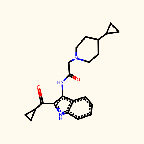 O=C(CN1CCC(C2CC2)CC1)Nc1c(C(=O)C2CC2)[nH]c2ccccc12